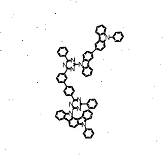 c1ccc(-c2nc(-c3cccc(-c4ccc(-c5nc(-c6ccccc6)nc(-n6c7ccccc7c7ccc8c(c9ccccc9n8-c8ccccc8)c76)n5)cc4)c3)nc(-n3c4ccccc4c4cc(-c5ccc6c(c5)c5ccccc5n6-c5ccccc5)ccc43)n2)cc1